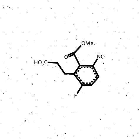 COC(=O)c1c(N=O)ccc(F)c1CCC(=O)O